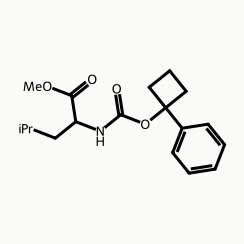 COC(=O)C(CC(C)C)NC(=O)OC1(c2ccccc2)CCC1